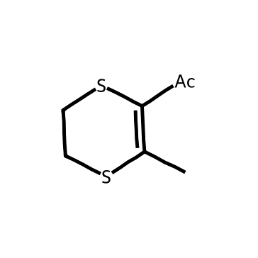 CC(=O)C1=C(C)SCCS1